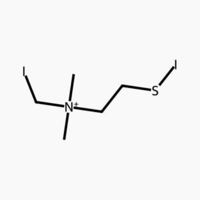 C[N+](C)(CI)CCSI